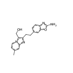 Cc1ccn2c(CO)c(CCc3ccc4nc(N)oc4c3)nc2c1